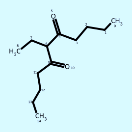 CCCCC(=O)C(CC)C(=O)CCCC